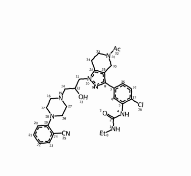 CCNC(=O)Nc1cc(-c2nn(CC(O)CN3CCN(c4ccccc4C#N)CC3)c3c2CN(C(C)=O)CC3)ccc1Cl